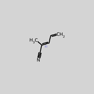 C=C/C=C(\C)C#N